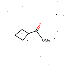 COC(=O)[C]1CCC1